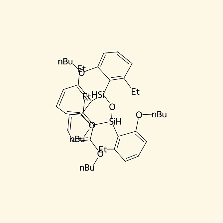 CCCCOc1cccc(CC)c1[SiH](O[SiH](c1c(CC)cccc1OCCCC)c1c(CC)cccc1OCCCC)c1c(CC)cccc1OCCCC